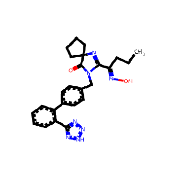 CCC/C(=N\O)C1=NC2(CCCC2)C(=O)N1Cc1ccc(-c2ccccc2-c2nn[nH]n2)cc1